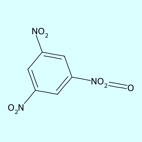 C=O.O=[N+]([O-])c1cc([N+](=O)[O-])cc([N+](=O)[O-])c1